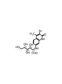 CC(=O)c1c(C)c2ccc(N[C@H](C=O)[C@H](O)[C@@H](O)[C@@H](O)CO)cc2[nH]c1=O